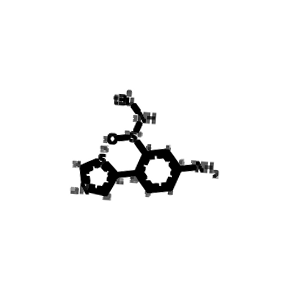 CC(C)(C)N[S+]([O-])c1cc(N)ccc1-c1cncs1